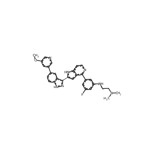 COc1cncc(-c2ccc3[nH]nc(-c4cc5c(-c6cc(F)cc(NCCN(C)C)c6)nccc5[nH]4)c3c2)c1